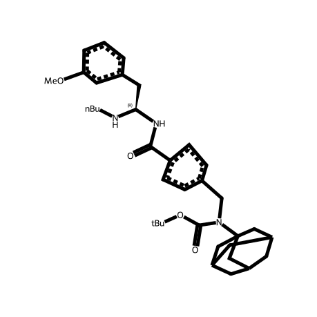 CCCCN[C@@H](Cc1cccc(OC)c1)NC(=O)c1ccc(CN(C(=O)OC(C)(C)C)C23CC4CC(CC(C4)C2)C3)cc1